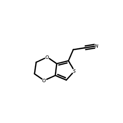 N#CCc1scc2c1OCCO2